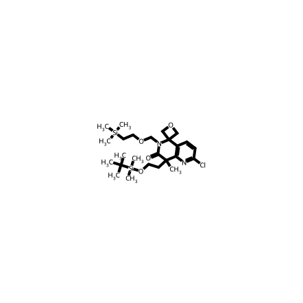 CC1(CCO[Si](C)(C)C(C)(C)C)C(=O)N(COCC[Si](C)(C)C)C2(COC2)c2ccc(Cl)nc21